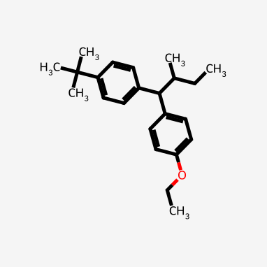 CCOc1ccc(C(c2ccc(C(C)(C)C)cc2)C(C)CC)cc1